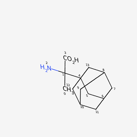 CC(N)(C(=O)O)C12CC3CC(CC(C3)C1)C2